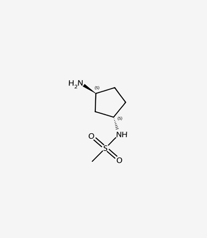 CS(=O)(=O)N[C@H]1CC[C@H](N)C1